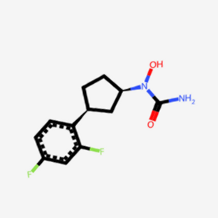 NC(=O)N(O)[C@@H]1CC[C@H](c2ccc(F)cc2F)C1